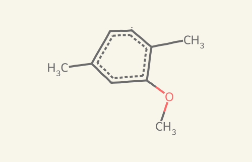 COc1cc(C)c[c]c1C